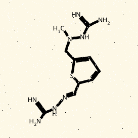 CN(CC1=CC=CC(/C=N/NC(=N)N)S1)NC(=N)N